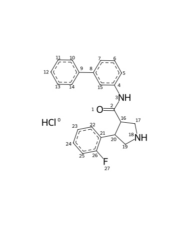 Cl.O=C(Nc1cccc(-c2ccccc2)c1)C1CNCC1c1ccccc1F